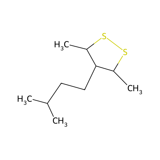 CC(C)CCC1C(C)SSC1C